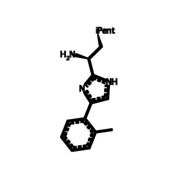 CCC[C@H](C)C[C@H](N)c1nc(-c2ccccc2C)c[nH]1